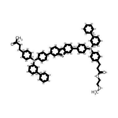 COCCOC(=O)CCc1ccc(N(c2ccc(-c3ccc4c(c3)sc3cc(-c5ccc(N(c6ccc(CCC(C)=O)cc6)c6cccc(-c7ccccc7)c6)cc5)ccc34)cc2)c2cccc(-c3ccccc3)c2)cc1